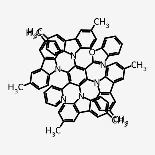 Cc1ccc2c(c1)c1cc(C)ccc1n2-c1c(-c2ccccn2)c(-n2c3ccc(C)cc3c3cc(C)ccc32)c(-n2c3ccc(C)cc3c3cc(C)ccc32)c(-c2nc3ccccc3o2)c1-n1c2ccc(C)cc2c2cc(C)ccc21